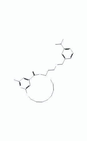 Cc1cc2cc(n1)NCCCCCC[C@@H](C)C[C@@H]([C@H](O)CNCc1cccc(C(C)C)c1)NC2=O